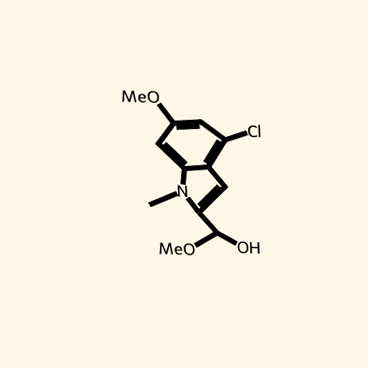 COc1cc(Cl)c2cc(C(O)OC)n(C)c2c1